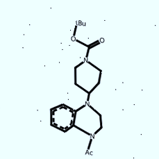 CC(=O)N1CCN(C2CCN(C(=O)OC(C)(C)C)CC2)c2ccccc21